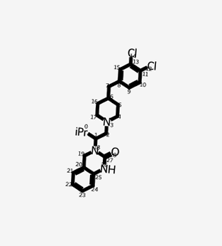 CC(C)C(CN1CCC(Cc2ccc(Cl)c(Cl)c2)CC1)N1Cc2ccccc2NC1=O